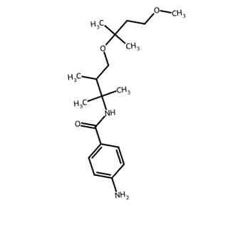 COCCC(C)(C)OCC(C)C(C)(C)NC(=O)c1ccc(N)cc1